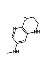 CNc1cnc2c(c1)NCCO2